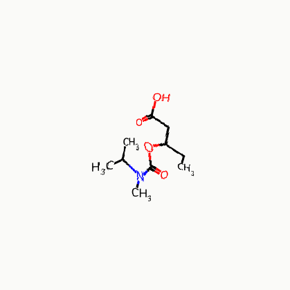 CCC(CC(=O)O)OC(=O)N(C)C(C)C